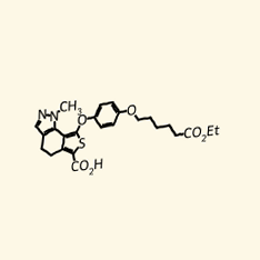 CCOC(=O)CCCCCOc1ccc(Oc2sc(C(=O)O)c3c2-c2c(cnn2C)CC3)cc1